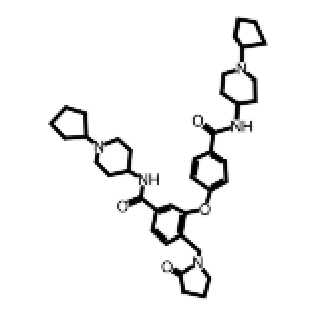 O=C(NC1CCN(C2CCCC2)CC1)c1ccc(Oc2cc(C(=O)NC3CCN(C4CCCC4)CC3)ccc2CN2CCCC2=O)cc1